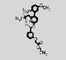 CCOC(=O)COc1cccc(COc2ccc(-c3cc(OC)ccc3F)c(CC(C)(C)C)n2)c1